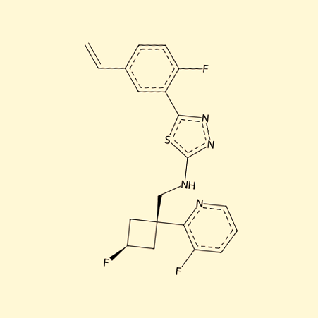 C=Cc1ccc(F)c(-c2nnc(NC[C@]3(c4ncccc4F)C[C@H](F)C3)s2)c1